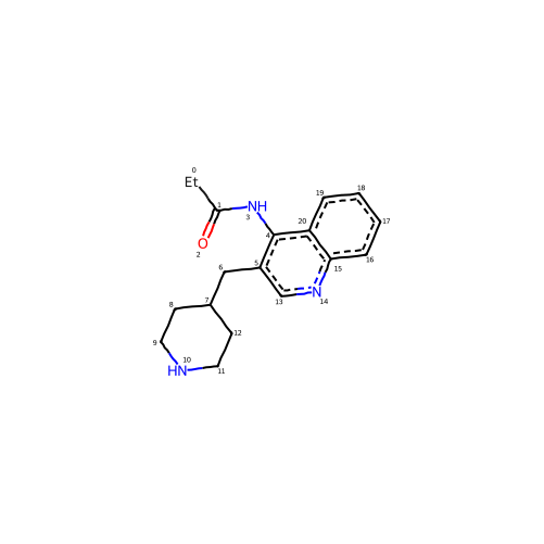 CCC(=O)Nc1c(CC2CCNCC2)cnc2ccccc12